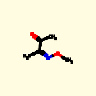 CO/N=C(/C)C(C)=O